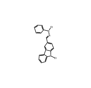 CCN(N=Cc1ccc2c(c1)c1ccccc1n2CC)c1ccccc1